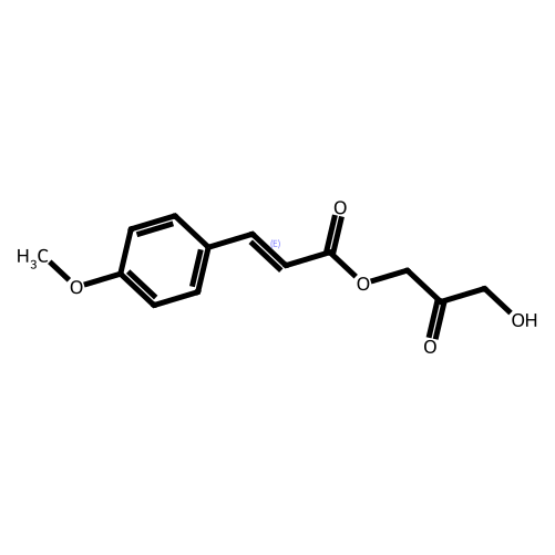 COc1ccc(/C=C/C(=O)OCC(=O)CO)cc1